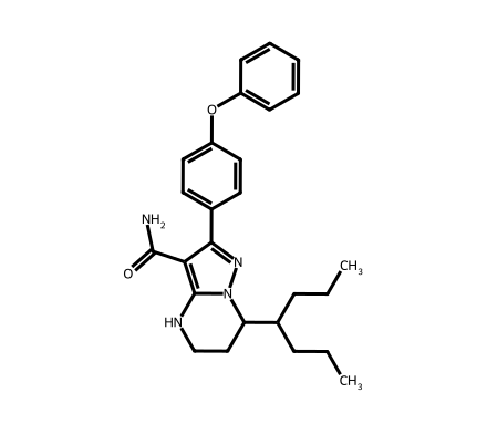 CCCC(CCC)C1CCNc2c(C(N)=O)c(-c3ccc(Oc4ccccc4)cc3)nn21